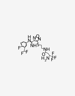 N=C(Nc1ccc(F)c(C(F)F)c1)c1nonc1SCCNC(=O)CC(N)C(F)(F)F